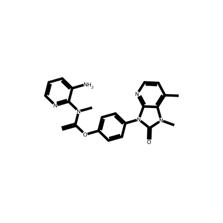 C=C(Oc1ccc(-n2c(=O)n(C)c3c(C)ccnc32)cc1)N(C)c1ncccc1N